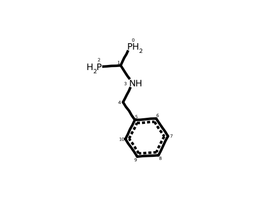 PC(P)NCc1ccccc1